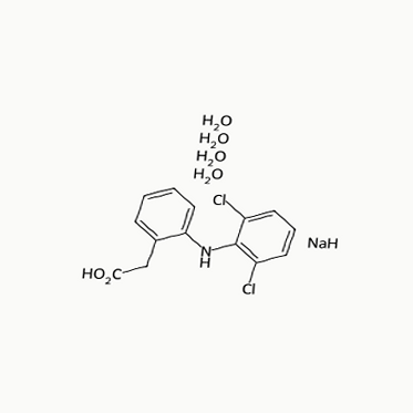 O.O.O.O.O=C(O)Cc1ccccc1Nc1c(Cl)cccc1Cl.[NaH]